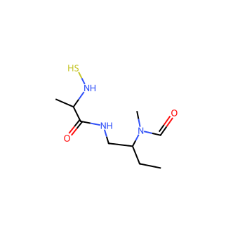 CCC(CNC(=O)C(C)NS)N(C)C=O